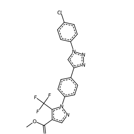 COC(=O)c1cnn(-c2ccc(-c3cn(-c4ccc(Cl)cc4)nn3)cc2)c1C(F)(F)F